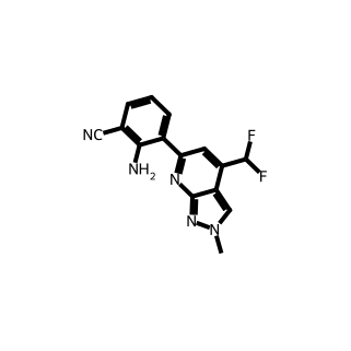 Cn1cc2c(C(F)F)cc(-c3cccc(C#N)c3N)nc2n1